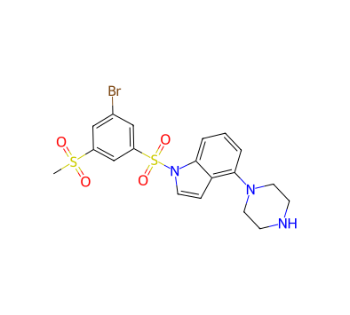 CS(=O)(=O)c1cc(Br)cc(S(=O)(=O)n2ccc3c(N4CCNCC4)cccc32)c1